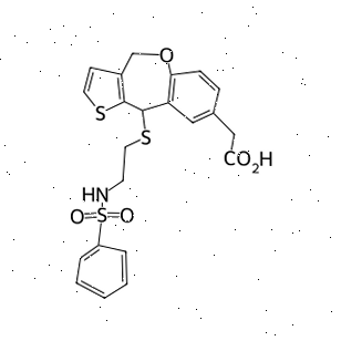 O=C(O)Cc1ccc2c(c1)C(SCCNS(=O)(=O)c1ccccc1)c1sccc1CO2